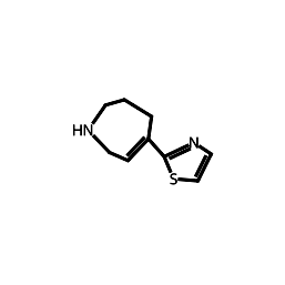 C1=C(c2nccs2)CCCNC1